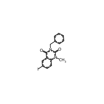 Cn1c(=O)n(Cc2ccccc2)c(=O)c2cc(I)ccc21